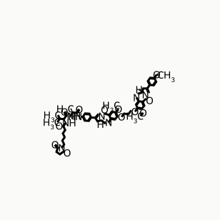 COc1ccc(C2=CN3C(=O)c4cc(OC)c(OCCCOc5cc6c(cc5OC)C(=O)N5C=C(c7ccc(NC(=O)[C@H](C)NC(=O)[C@@H](NC(=O)CCCCCN8C(=O)CCC8=O)C(C)C)cc7)C[C@H]5C=N6)cc4N=C[C@@H]3C2)cc1